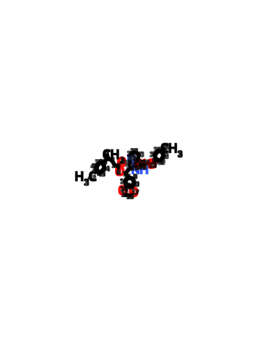 C=C(CCC(=O)O[C@H](c1ccc2c(c1)OCCO2)[C@@H](CN1CCCC1)NC(O)CCOc1ccc(C)cc1)c1ccc(C)cc1